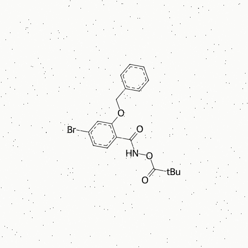 CC(C)(C)C(=O)ONC(=O)c1ccc(Br)cc1OCc1ccccc1